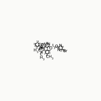 Cc1ccc(-c2c(OCCOc3ncc(Br)cn3)ncnc2N(CC(C)C)S(=O)(=O)c2ccccc2)cc1